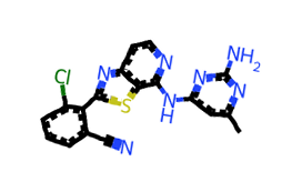 Cc1cc(Nc2nccc3nc(-c4c(Cl)cccc4C#N)sc23)nc(N)n1